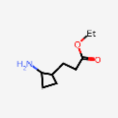 CCOC(=O)CCC1CCC1N